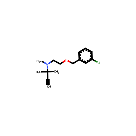 C#CC(C)(C)N(C)CCOCc1cccc(Cl)c1